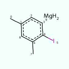 Cc1ccc(I)c(C)c1.[MgH2]